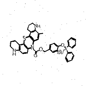 Cc1cc2c(c3c1NCCC3)Sc1c(ccc3c1CCCN3)N2C(=O)OCc1ccc(O[Si](c2ccccc2)(c2ccccc2)C(C)(C)C)cc1